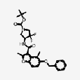 Cc1oc2ccc(OCc3ccccc3)c(C)c2c1C(=O)NC1CN(C(=O)OC(C)(C)C)CC1(F)F